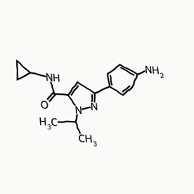 CC(C)n1nc(-c2ccc(N)cc2)cc1C(=O)NC1CC1